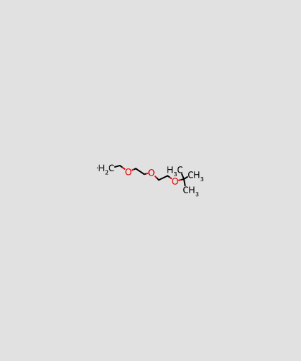 [CH2]COCCOCCOC(C)(C)C